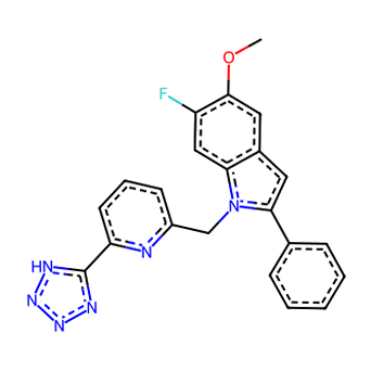 COc1cc2cc(-c3ccccc3)n(Cc3cccc(-c4nnn[nH]4)n3)c2cc1F